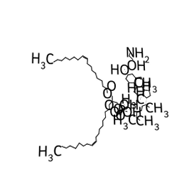 CC(C)CCCC(C)[C@H]1CC[C@H]2[C@@H]3CC=C4C[C@@H](O)CC[C@]4(C)[C@H]3CC[C@]12C.CCCCCCCC/C=C\CCCCCCCC(=O)OCC(COP(=O)(O)O)OC(=O)CCCCCCC/C=C\CCCCCCCC.NCCO